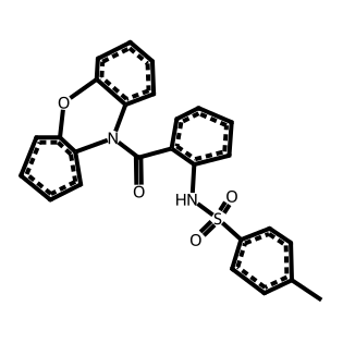 Cc1ccc(S(=O)(=O)Nc2ccccc2C(=O)N2c3ccccc3Oc3ccccc32)cc1